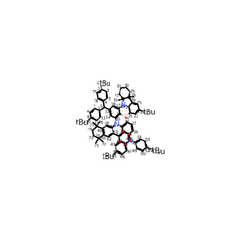 CC(C)(C)c1ccc(C(c2ccc(C(C)(C)C)cc2)c2cc3c4c(c2)N2c5c(cc(C(C)(C)C)cc5C5(C)CCCCC25C)B4c2ccc(N(c4ccc(C(C)(C)C)cc4)c4ccc(C(C)(C)C)cc4)cc2N3c2cc3c(cc2-c2ccccc2)C(C)(C)CCC3(C)C)cc1